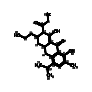 CC(=O)CC(=O)C1C(O)=C2C(=O)c3c(O)c(C)cc(N(C)C)c3CC2CC1CCO